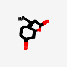 CC1=C2C=CC(=O)C=C2OC(=O)C1